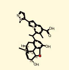 Cc1c(C(=O)O)cc2cc(-c3ccnn3C)cn2c1C(C)c1cc(O)c2c3c1C[C@@H]1[C@@H]4C=C[C@H](O)[C@H](O2)[C@]34CCN1C